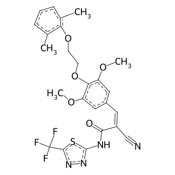 COc1cc(/C=C(/C#N)C(=O)Nc2nnc(C(F)(F)F)s2)cc(OC)c1OCCOc1c(C)cccc1C